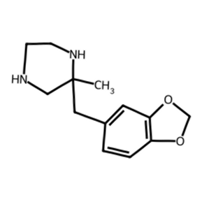 CC1(Cc2ccc3c(c2)OCO3)CNCCN1